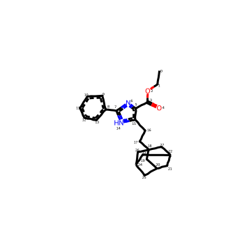 CCOC(=O)c1nc(-c2ccccc2)[nH]c1CCC12CC3CC(CC(C3)C1)C2